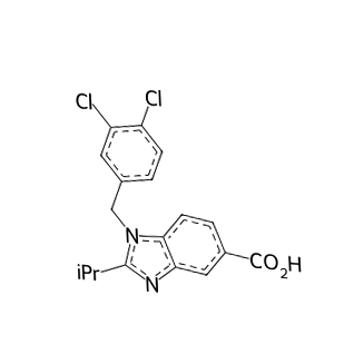 CC(C)c1nc2cc(C(=O)O)ccc2n1Cc1ccc(Cl)c(Cl)c1